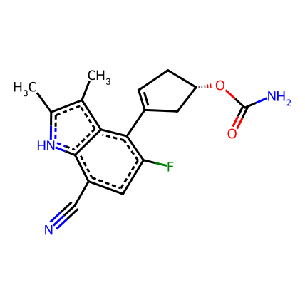 Cc1[nH]c2c(C#N)cc(F)c(C3=CC[C@H](OC(N)=O)C3)c2c1C